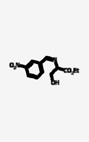 CCOC(=O)C(CO)/N=C\c1cccc([N+](=O)[O-])c1